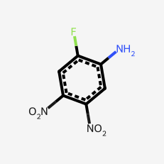 Nc1cc([N+](=O)[O-])c([N+](=O)[O-])cc1F